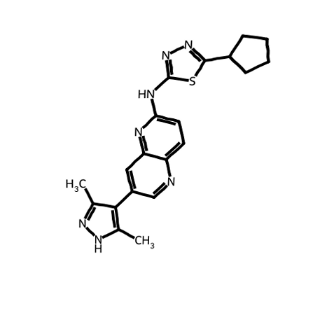 Cc1n[nH]c(C)c1-c1cnc2ccc(Nc3nnc(C4CCCC4)s3)nc2c1